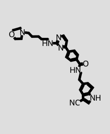 N#Cc1c[nH]c2ccc(CCNC(=O)c3ccc(-c4ccnc(NCCCCCN5CCOCC5)n4)cc3)cc12